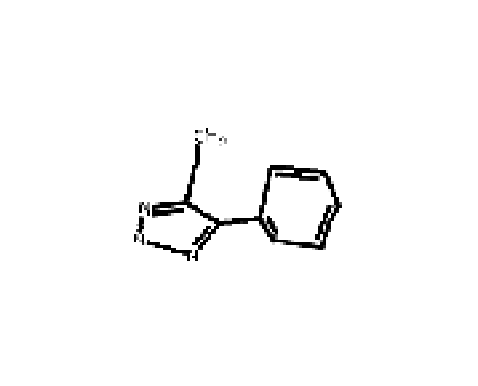 CC1=N[N]N=C1c1ccccc1